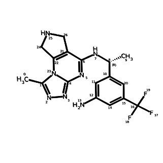 Cc1nnc2nc(N[C@H](C)c3cc(N)cc(C(F)(F)F)c3)c3c(n12)CNC3